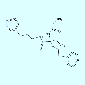 CCC(NCCc1ccccc1)(NC(=O)CN)C(=O)NCCCc1ccccc1